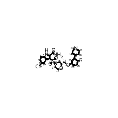 NC(=O)c1[nH]c2ccc(Cl)cc2c1S(=O)(=O)N1CCO[C@H](COc2ccc(F)c(-c3ccncc3)c2)C1